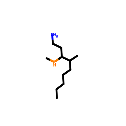 CCCCCC(C)C(CCN)PC